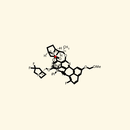 COCOc1cc(-c2nc3c4c(nc(OC[C@]56CCN5CC(F)(F)C6)nc4c2F)N2C[C@H]4CC[C@@H]([C@H]2[C@H](C)O3)N4C(=O)OC(C)(C)C)c2c(C#C[Si](C(C)C)(C(C)C)C(C)C)c(F)ccc2c1